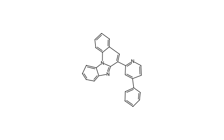 c1ccc(-c2ccnc(-c3cc4ccccc4n4c3nc3ccccc34)c2)cc1